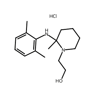 Cc1cccc(C)c1NC1(C)CCCCN1CCO.Cl